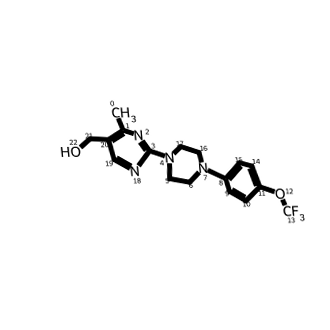 Cc1nc(N2CCN(c3ccc(OC(F)(F)F)cc3)CC2)ncc1CO